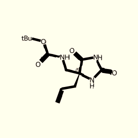 C=CC[C@]1(CNC(=O)OC(C)(C)C)NC(=O)NC1=O